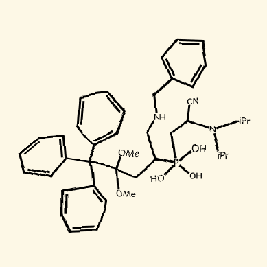 COC(CC(CNCc1ccccc1)P(O)(O)(O)CC(C#N)N(C(C)C)C(C)C)(OC)C(c1ccccc1)(c1ccccc1)c1ccccc1